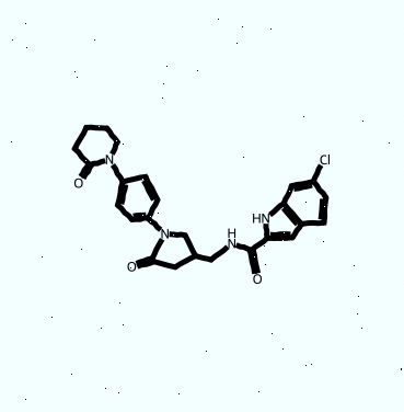 O=C(NCC1CC(=O)N(c2ccc(N3CCCCC3=O)cc2)C1)c1cc2ccc(Cl)cc2[nH]1